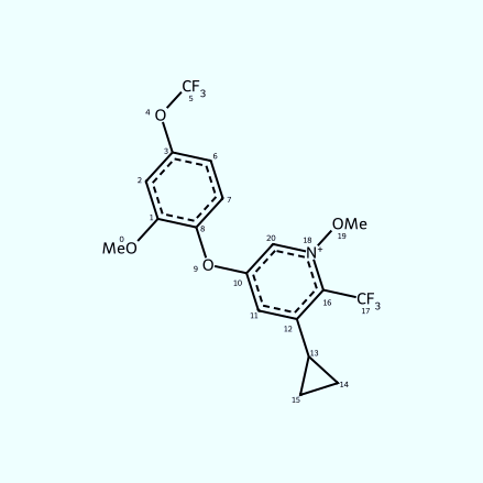 COc1cc(OC(F)(F)F)ccc1Oc1cc(C2CC2)c(C(F)(F)F)[n+](OC)c1